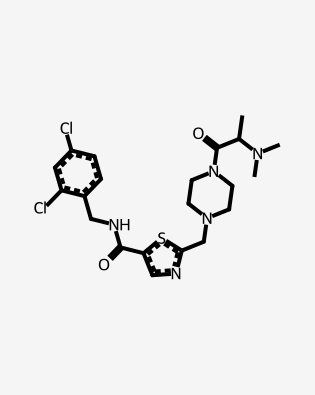 CC(C(=O)N1CCN(Cc2ncc(C(=O)NCc3ccc(Cl)cc3Cl)s2)CC1)N(C)C